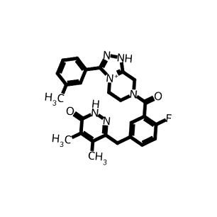 Cc1cccc(-c2n[nH]c3[n+]2CCN(C(=O)c2cc(Cc4n[nH]c(=O)c(C)c4C)ccc2F)C3)c1